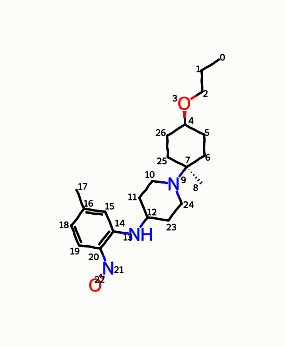 CCCO[C@H]1CC[C@@](C)(N2CCC(Nc3cc(C)ccc3N=O)CC2)CC1